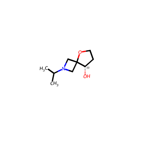 CC(C)N1CC2(C1)OCC[C@@H]2O